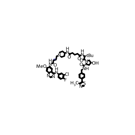 COc1cc2ncnc(Nc3ccc(F)c(Cl)c3)c2cc1NC(=O)/C=C/CN1CCC(NC(=O)CCCC(=O)N[C@H](C(=O)N2C[C@H](O)C[C@H]2C(=O)NCc2ccc(-c3scnc3C)cc2)C(C)(C)C)CC1